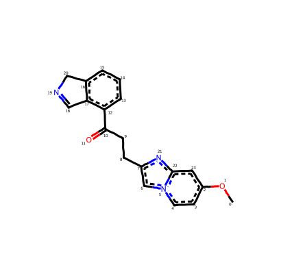 COc1ccn2cc(CCC(=O)c3cccc4c3C=NC4)nc2c1